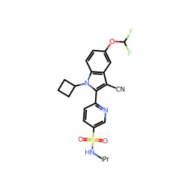 CC(C)NS(=O)(=O)c1ccc(-c2c(C#N)c3cc(OC(F)F)ccc3n2C2CCC2)nc1